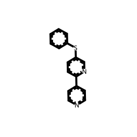 c1ccc(Sc2ccc(-c3ccncc3)nc2)cc1